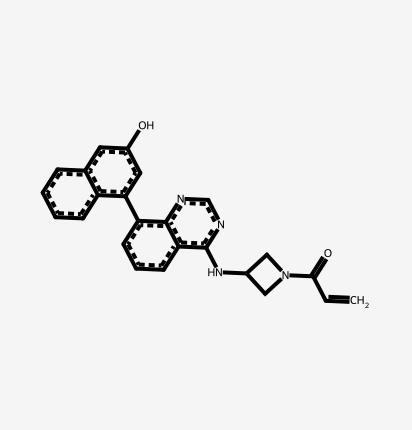 C=CC(=O)N1CC(Nc2ncnc3c(-c4cc(O)cc5ccccc45)cccc23)C1